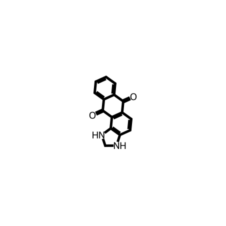 O=C1c2ccccc2C(=O)c2c1ccc1c2NCN1